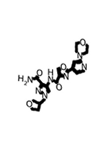 NC(=O)c1nn(CC2CCOC2)cc1NC(=O)c1coc(-c2ccnc(N3CCOCC3)c2)n1